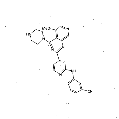 COc1cncc2nc(-c3ccnc(Nc4cccc(C#N)c4)c3)nc(N3CCNCC3)c12